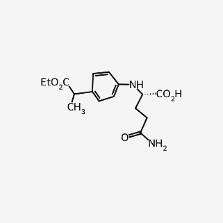 CCOC(=O)C(C)c1ccc(N[C@@H](CCC(N)=O)C(=O)O)cc1